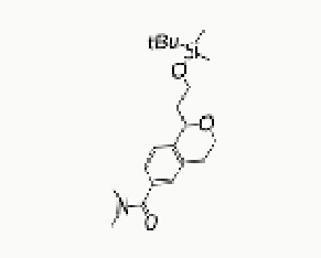 CN(C)C(=O)c1ccc2c(c1)CCOC2CCO[Si](C)(C)C(C)(C)C